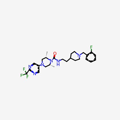 C[C@@H]1CN(c2cnc(C(F)(F)F)nc2)C[C@H](C)N1C(=O)NCCC1CCN(Cc2ccccc2F)CC1